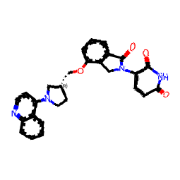 O=C1CCC(N2Cc3c(OC[C@@H]4CCN(c5ccnc6ccccc56)C4)cccc3C2=O)C(=O)N1